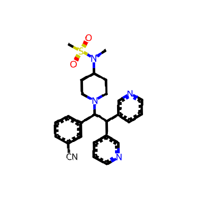 CN(C1CCN(C(c2cccc(C#N)c2)C(c2cccnc2)c2cccnc2)CC1)S(C)(=O)=O